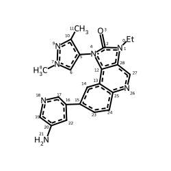 CCn1c(=O)n(-c2cn(C)nc2C)c2c3cc(-c4cncc(N)c4)ccc3ncc21